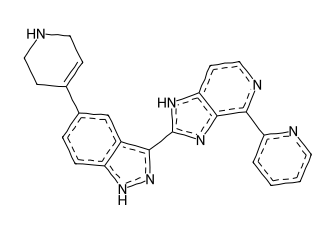 C1=C(c2ccc3[nH]nc(-c4nc5c(-c6ccccn6)nccc5[nH]4)c3c2)CCNC1